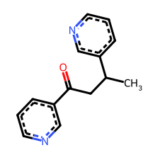 CC(CC(=O)c1cccnc1)c1cccnc1